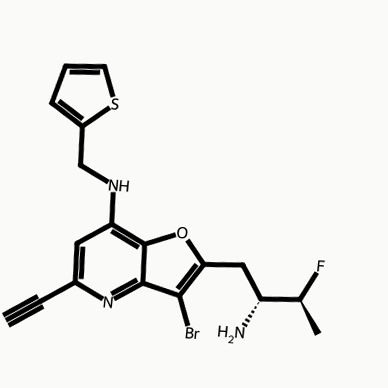 C#Cc1cc(NCc2cccs2)c2oc(C[C@@H](N)[C@H](C)F)c(Br)c2n1